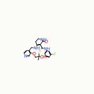 CC(C)(O)COc1cnccc1CNC1=C(C(=S)Nc2cccc(F)c2)C(=O)NCC1